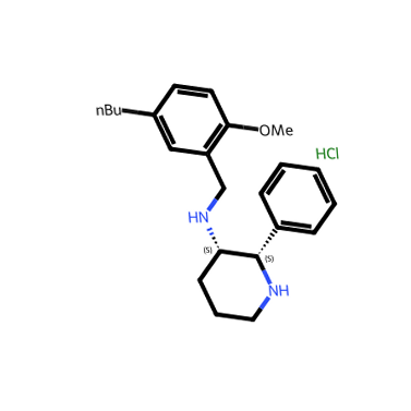 CCCCc1ccc(OC)c(CN[C@H]2CCCN[C@H]2c2ccccc2)c1.Cl